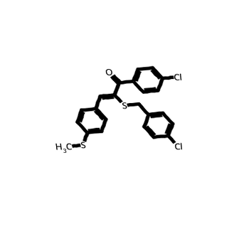 CSc1ccc(C=C(SCc2ccc(Cl)cc2)C(=O)c2ccc(Cl)cc2)cc1